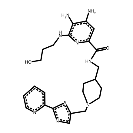 Nc1cc(C(=O)NCC2CCN(Cc3cnc(-c4ccccn4)s3)CC2)nc(NCCCO)c1N